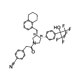 N#Cc1ccc(CC(=O)N2C[C@@H](Cc3cccc4c3CCCC4)[C@H](c3ccc(C(O)(C(F)(F)F)C(F)(F)F)cc3)C2)cc1